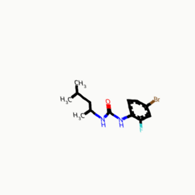 CC(C)CC(C)NC(=O)Nc1ccc(Br)cc1F